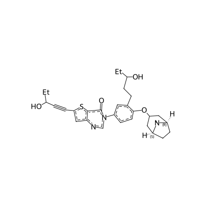 CCC(O)C#Cc1cc2ncn(-c3ccc(OC4C[C@H]5CC[C@@H](C4)N5C)c(CCC(O)CC)c3)c(=O)c2s1